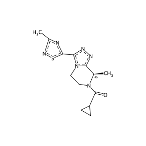 Cc1nsc(-c2nnc3n2CCN(C(=O)C2CC2)[C@@H]3C)n1